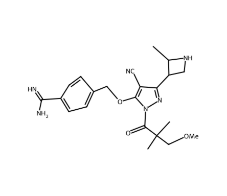 COCC(C)(C)C(=O)n1nc(C2CNC2C)c(C#N)c1OCc1ccc(C(=N)N)cc1